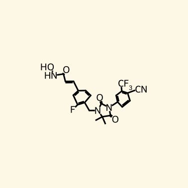 CC1(C)C(=O)N(c2ccc(C#N)c(C(F)(F)F)c2)C(=O)N1Cc1ccc(/C=C/C(=O)NO)cc1F